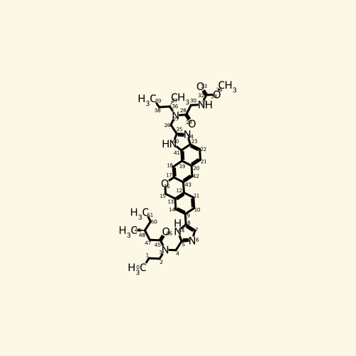 CCCN(Cc1ncc(-c2ccc3c(c2)COc2cc4c(ccc5nc(CN(C(=O)CNC(=O)OC)[C@@H](C)CC)[nH]c54)cc2-3)[nH]1)C(=O)C[C@@H](C)CC